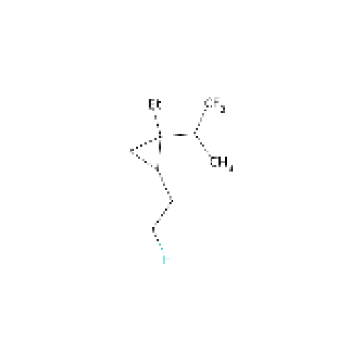 CCC1(C(C)C(F)(F)F)CC1CCF